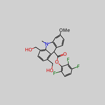 COc1ccc2c(c1)N(C)c1c(CO)ccc(CO)c1C2C(=O)Oc1c(F)ccc(F)c1F